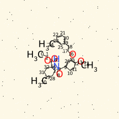 CCOC(=O)[C@]1(NC(=O)c2ccc(OC)c(OCCc3cccc(C)c3)c2)CC[C@@H](C)CC1